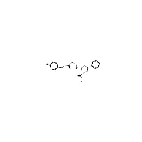 C[C@H](NC(=O)[C@H]1C[C@@H](c2ccccc2)CN1C(=O)OC(C)(C)C)C(=O)NCc1ccc(N)nc1